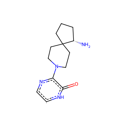 N[C@H]1CCCC12CCN(c1nc[c][nH]c1=O)CC2